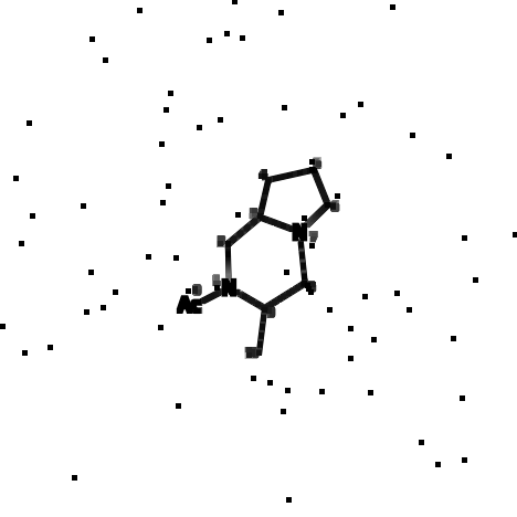 CC(=O)N1CC2CCCN2CC1C